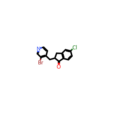 O=C1c2ccc(Cl)cc2CC1Cc1ccncc1Br